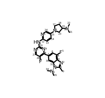 Cc1nc2c(F)cc(-c3nc(Nc4ccc(N5CCC(N(C)C)C5)cn4)ncc3F)cc2n1N(C)C